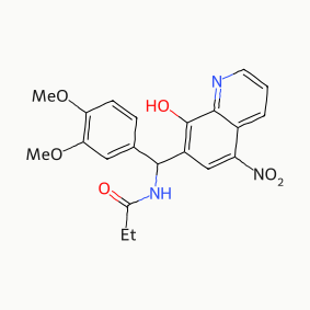 CCC(=O)NC(c1ccc(OC)c(OC)c1)c1cc([N+](=O)[O-])c2cccnc2c1O